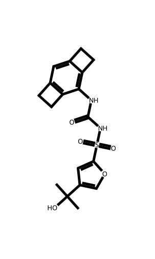 CC(C)(O)c1coc(S(=O)(=O)NC(=O)Nc2c3c(cc4c2CC4)CC3)c1